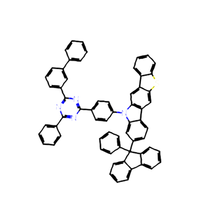 c1ccc(-c2cccc(-c3nc(-c4ccccc4)nc(-c4ccc(-n5c6cc(C7(c8ccccc8)c8ccccc8-c8ccccc87)ccc6c6cc7sc8ccccc8c7cc65)cc4)n3)c2)cc1